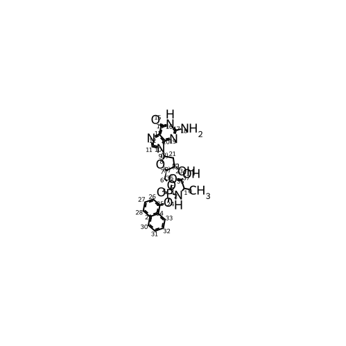 CC(NP(=O)(OC[C@H]1O[C@@H](n2cnc3c(=O)[nH]c(N)nc32)C[C@@H]1O)Oc1cccc2ccccc12)C(=O)O